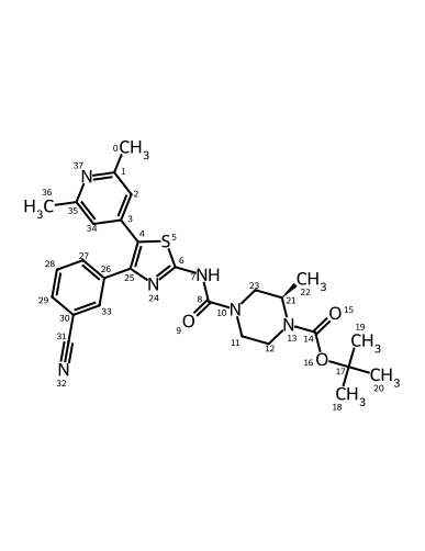 Cc1cc(-c2sc(NC(=O)N3CCN(C(=O)OC(C)(C)C)[C@H](C)C3)nc2-c2cccc(C#N)c2)cc(C)n1